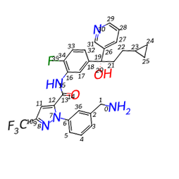 NCc1cccc(-n2nc(C(F)(F)F)cc2C(=O)Nc2cc([C@](O)(CCC3CC3)c3cccnc3)ccc2F)c1